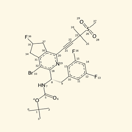 CC(C)(C)OC(=O)N[C@@H](Cc1cc(F)cc(F)c1)c1nc(C#CC(C)(C)S(C)(=O)=O)c2c(c1Br)CC(F)C2